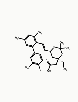 CC[C@]1(CC(=O)O)C[C@@H](C=Cc2c(C)cc(C)cc2-c2ccc(F)c(C)c2)OC(C)(C)O1